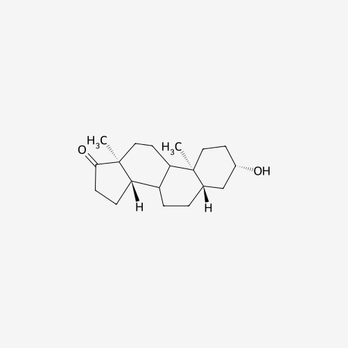 C[C@]12CCC3C(CC[C@H]4C[C@@H](O)CC[C@]34C)[C@@H]1CCC2=O